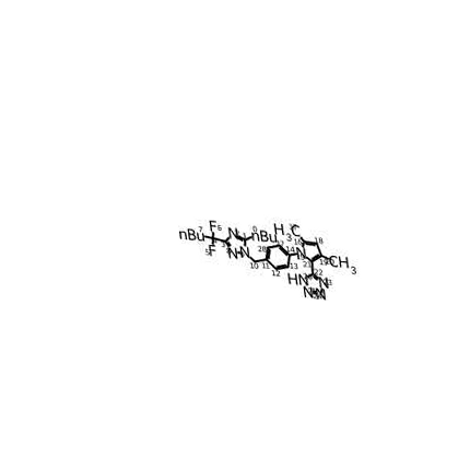 CCCCc1nc(C(F)(F)CCCC)nn1Cc1ccc(-n2c(C)cc(C)c2-c2nnn[nH]2)cc1